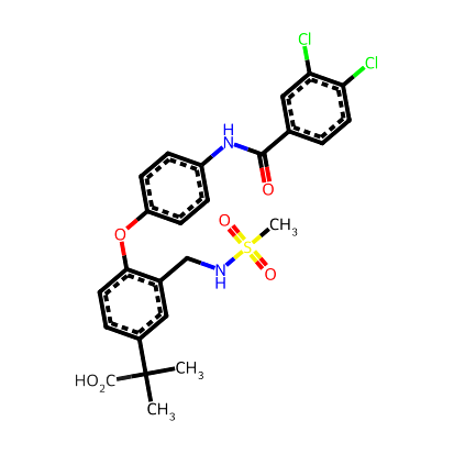 CC(C)(C(=O)O)c1ccc(Oc2ccc(NC(=O)c3ccc(Cl)c(Cl)c3)cc2)c(CNS(C)(=O)=O)c1